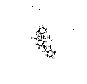 CCC(=O)C(N)(C1=CC=CCC1)c1cccc(NCc2cccnc2)c1